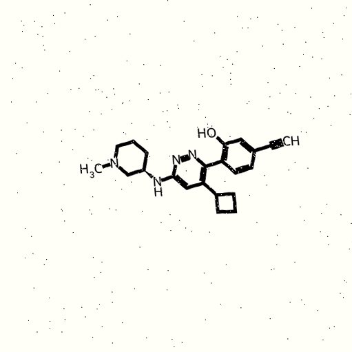 C#Cc1ccc(-c2nnc(N[C@@H]3CCCN(C)C3)cc2C2CCC2)c(O)c1